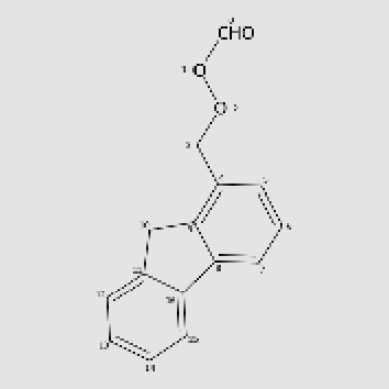 O=COOCc1cccc2c1Cc1ccccc1-2